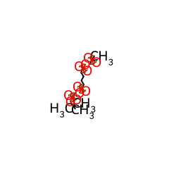 CC(C)(C)OS(=O)(=O)COS(=O)(=O)CCCCS(=O)(=O)OCS(C)(=O)=O